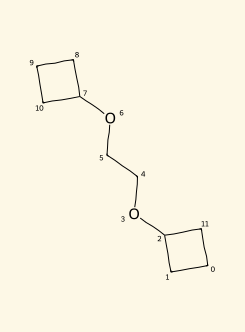 C1CC(OCCOC2CCC2)C1